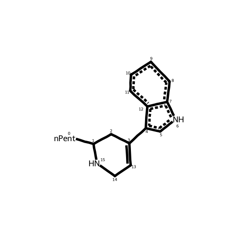 CCCCCC1CC(c2c[nH]c3ccccc23)=CCN1